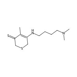 CC1=C(NCCCCN(C)C)CSCC1=S